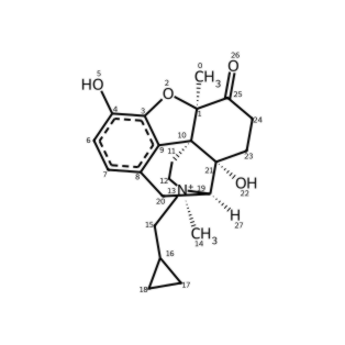 C[C@@]12Oc3c(O)ccc4c3[C@@]13CC[N@+](C)(CC1CC1)[C@H](C4)[C@]3(O)CCC2=O